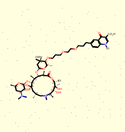 CC[C@H]1OC(=O)[C@H](C)[C@@H](O[C@H]2C[C@@](C)(OC)[C@@H](OCCCOCCOCCCc3ccc4c(c3)c(=O)c(C(=O)O)cn4CC)[C@H](C)O2)[C@H](C)[C@@H](O[C@@H]2O[C@H](C)C[C@H](N(C)C)[C@H]2O)[C@](C)(O)C[C@@H](C)CN(C)[C@H](C)[C@@H](O)[C@]1(C)O